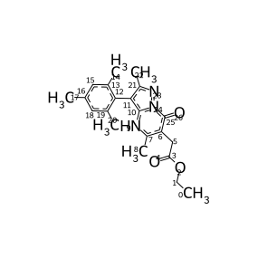 CCOC(=O)Cc1c(C)[nH]c2c(-c3c(C)cc(C)cc3C)c(C)nn2c1=O